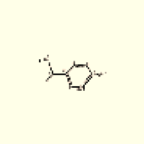 CCCC(C)c1ccc(F)nc1